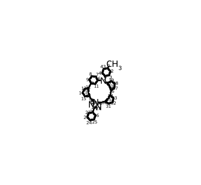 Cc1ccc(N2c3cccc(c3)-c3cccc(c3)-c3nc(-c4ccccc4)nc(n3)-c3cccc(c3)-c3cccc2c3)cc1